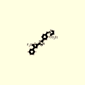 CCOC(=O)c1ccnn1Cc1ccc(-c2noc(-c3cc(-c4ccccc4)c(C(F)(F)F)s3)n2)cc1